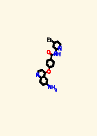 CCc1ccnc(NC(=O)c2ccc(Oc3ccnc4ccc(N)cc34)cc2)c1